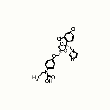 CCN(C(=O)O)c1ccc(OC[C@@H]2CO[C@@](Cn3ccnc3)(c3ccc(Cl)cc3Cl)O2)cc1